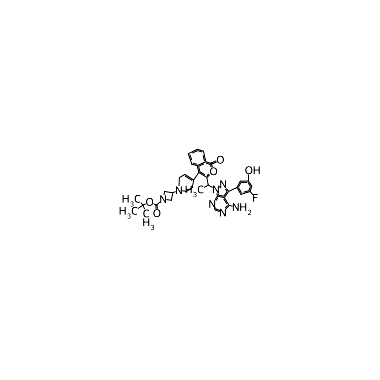 CC(c1oc(=O)c2ccccc2c1C1=CCN(C2CN(C(=O)OC(C)(C)C)C2)CC1)n1nc(-c2cc(O)cc(F)c2)c2c(N)ncnc21